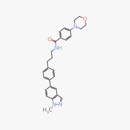 Cn1ncc2cc(-c3ccc(CCCNC(=O)c4ccc(N5CCOCC5)cc4)cc3)ccc21